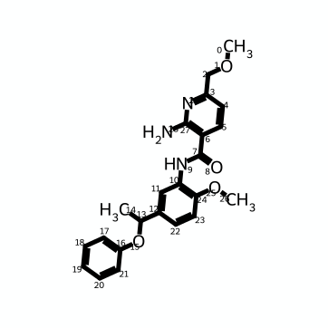 COCc1ccc(C(=O)Nc2cc(C(C)Oc3ccccc3)ccc2OC)c(N)n1